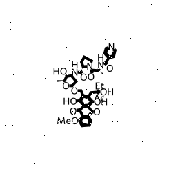 CCC(O)(Cc1c(O)c2c(c(O)c1CO[C@H]1C[C@H](NC(=O)[C@@H]3CCCN3C(=O)[C@@H](C)NC(=O)c3ccncc3)[C@H](O)[C@H](C)O1)C(=O)c1c(OC)cccc1C2=O)C(C)=O